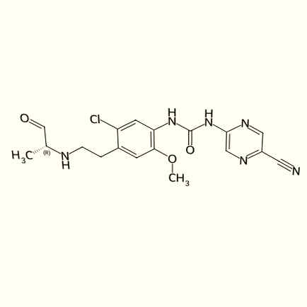 COc1cc(CCN[C@H](C)C=O)c(Cl)cc1NC(=O)Nc1cnc(C#N)cn1